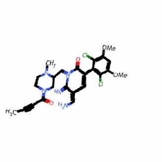 CC#CC(=O)N1CCN(C)C(CN2C(=N)/C(=C\N)C=C(c3c(Cl)c(OC)cc(OC)c3Cl)C2=O)C1